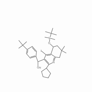 CC1(C)Cc2nc(C3CCCC3)c(C(O)c3ccc(C(C)(C)C)cc3)c(I)c2C(O[Si](C)(C)C(C)(C)C)C1